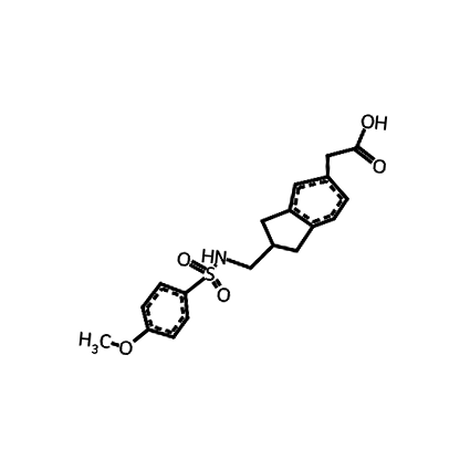 COc1ccc(S(=O)(=O)NCC2Cc3ccc(CC(=O)O)cc3C2)cc1